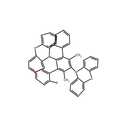 Cc1c(-c2ccccc2F)c(N2c3ccccc3Sc3ccccc32)c(-c2ccccc2F)c(C)c1N1c2ccccc2Sc2ccccc21